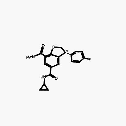 CNC(=O)c1cc(C(=O)NC2CC2)cc2c1OC[C@@H]2c1ccc(F)cc1